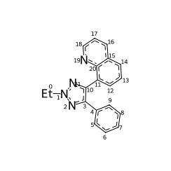 CCn1nc(-c2ccccc2)c(-c2cccc3cccnc23)n1